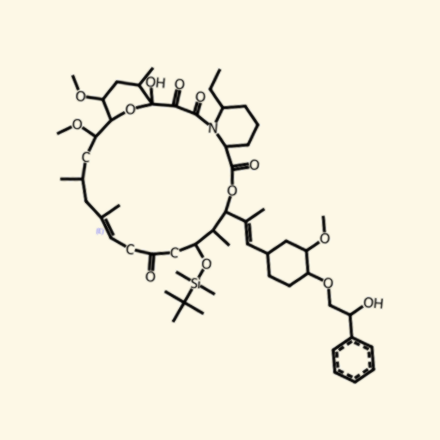 CCC1CCCC2C(=O)OC(C(C)=CC3CCC(OCC(O)c4ccccc4)C(OC)C3)C(C)C(O[Si](C)(C)C(C)(C)C)CC(=O)C/C=C(\C)CC(C)CC(OC)C3OC(O)(C(=O)C(=O)N12)C(C)CC3OC